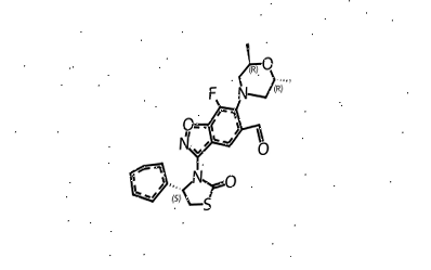 C[C@@H]1CN(c2c(C=O)cc3c(N4C(=O)SC[C@@H]4c4ccccc4)noc3c2F)C[C@@H](C)O1